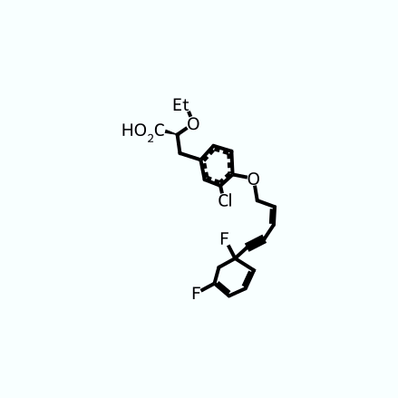 CCO[C@@H](Cc1ccc(OC/C=C\C#CC2(F)C=CC=C(F)C2)c(Cl)c1)C(=O)O